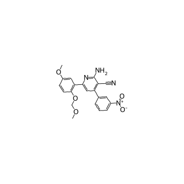 COCOc1ccc(OC)cc1-c1cc(-c2cccc([N+](=O)[O-])c2)c(C#N)c(N)n1